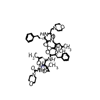 CC(C)CC(NC(=O)[C@H](CCc1ccccc1)NC(=O)CN1CCOCC1)C(=O)N[C@@H](Cc1ccccc1)C(=O)N[C@@H](CC(C)C)/C(=N/NC(=O)N1CCOCC1)[C@@]1(C)CO1